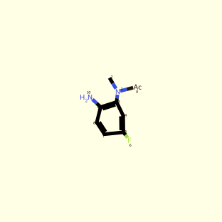 CC(=O)N(C)c1cc(F)ccc1N